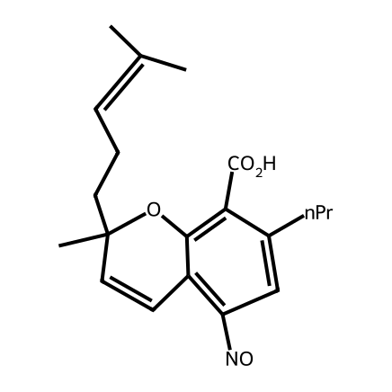 CCCc1cc(N=O)c2c(c1C(=O)O)OC(C)(CCC=C(C)C)C=C2